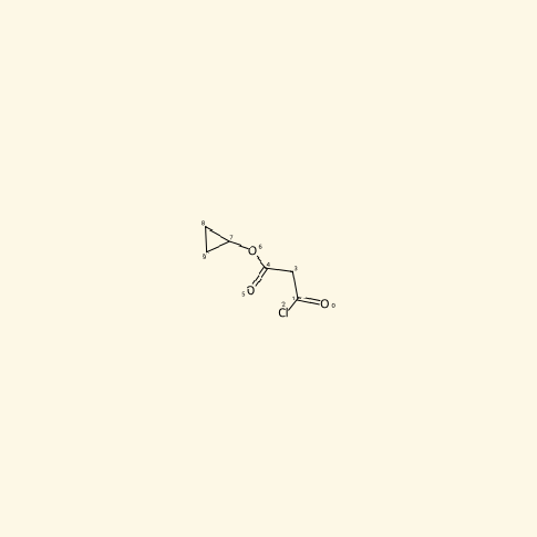 O=C(Cl)CC(=O)OC1CC1